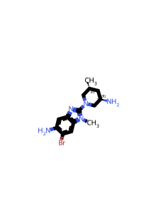 C[C@@H]1C[C@@H](N)CN(c2nc3cc(N)c(Br)cc3n2C)C1